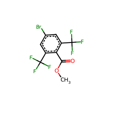 COC(=O)c1c(C(F)(F)F)cc(Br)cc1C(F)(F)F